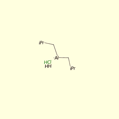 CC(C)[CH2][Al][CH2]C(C)C.Cl.[HH]